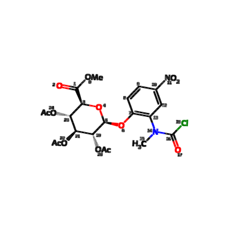 COC(=O)[C@H]1O[C@@H](Oc2ccc([N+](=O)[O-])cc2N(C)C(=O)Cl)[C@H](OC(C)=O)[C@@H](OC(C)=O)[C@@H]1OC(C)=O